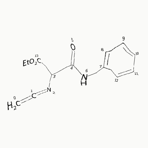 C=C=NC(C(=O)Nc1ccccc1)C(=O)OCC